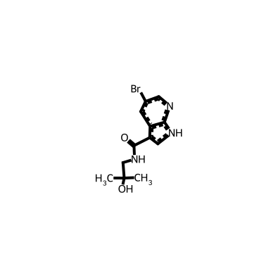 CC(C)(O)CNC(=O)c1c[nH]c2ncc(Br)cc12